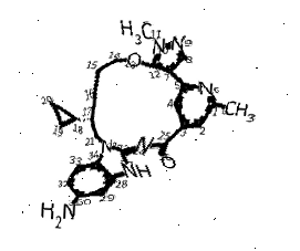 Cc1cc2cc(n1)-c1cnn(C)c1OCCC[C@@H](C1CC1)CN1/C(=N/C2=O)Nc2cc(N)ccc21